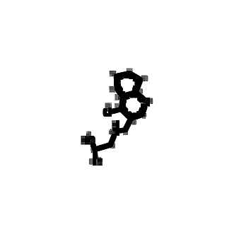 CCC(O)CNCc1cnc2ccccc2c1Cl